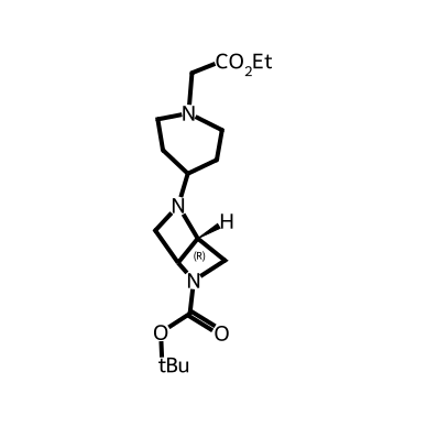 CCOC(=O)CN1CCC(N2CC3[C@H]2CN3C(=O)OC(C)(C)C)CC1